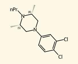 CCCN1[C@H](C)CN(c2ccc(Cl)c(Cl)c2)C[C@@H]1C